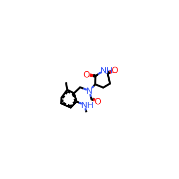 CNc1cccc(C)c1CN(C=O)C1CCC(=O)NC1=O